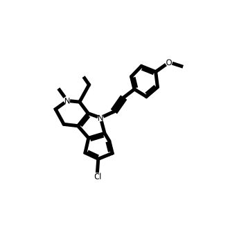 CCC1c2c(c3cc(Cl)ccc3n2C#Cc2ccc(OC)cc2)CCN1C